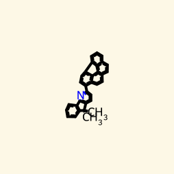 CC1(C)c2ccccc2-c2nc(-c3ccc4c5c3ccc3ccc6cccc-4c6c35)ccc21